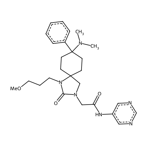 COCCCN1C(=O)N(CC(=O)Nc2cncnc2)CC12CCC(c1ccccc1)(N(C)C)CC2